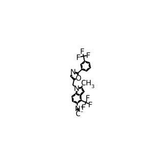 [C-]#[N+]c1ccc2c(cc(C)n2Cc2cnc(-c3cccc(C(F)(F)F)c3)o2)c1C(F)(F)F